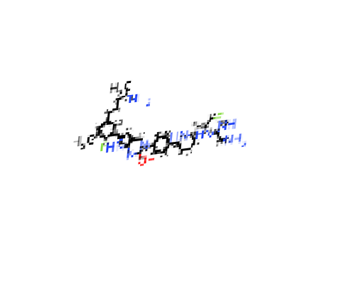 Cc1cc(CCC[C@H](C)N)cc(-c2cc3c([nH]2)=NC(O)N(c2ccc([C@@H]4CCC[C@@H](C[C@@H](CF)NC(=N)CN)N4)cc2)C=3)c1F